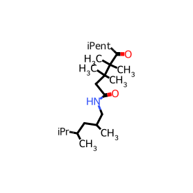 CCCC(C)C(=O)C(C)(C)C(C)(C)CC(=O)NCC(C)CC(C)C(C)C